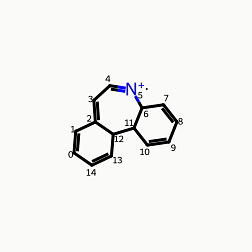 C1=CC2=CC=[N+]C3C=CC=CC3C2C=C1